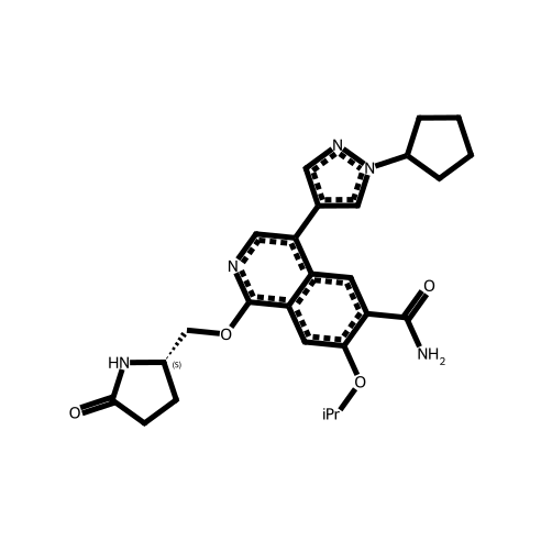 CC(C)Oc1cc2c(OC[C@@H]3CCC(=O)N3)ncc(-c3cnn(C4CCCC4)c3)c2cc1C(N)=O